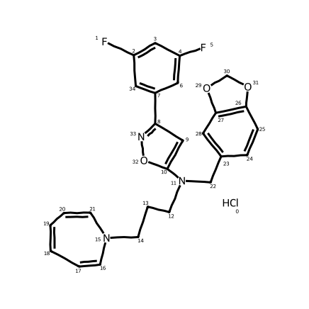 Cl.Fc1cc(F)cc(-c2cc(N(CCCN3C=CC=CC=C3)Cc3ccc4c(c3)OCO4)on2)c1